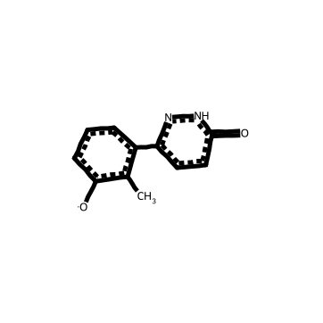 Cc1c([O])cccc1-c1ccc(=O)[nH]n1